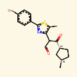 Cc1sc(-c2ccc(Br)cc2)nc1C(C=O)C(=O)[C@@H]1CC[C@@H](C)C1